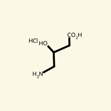 Cl.NCC(O)CC(=O)O